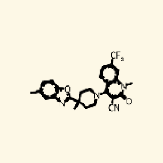 Cc1ccc2oc(C3(C)CCN(c4c(C#N)c(=O)n(C)c5cc(C(F)(F)F)ccc45)CC3)nc2c1